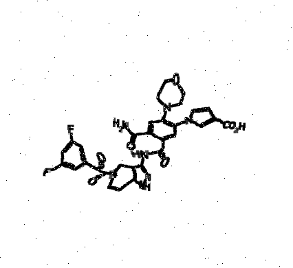 NC(=O)c1cc(N2CCOCC2)c(-n2ccc(C(=O)O)c2)cc1C(=O)Nc1n[nH]c2c1CN(S(=O)(=O)c1cc(F)cc(F)c1)CC2